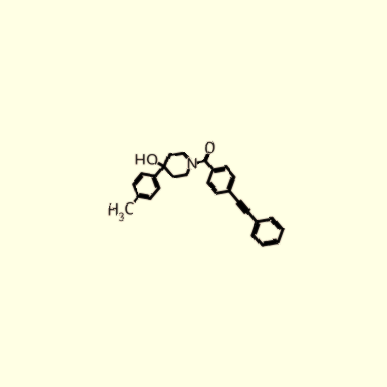 Cc1ccc(C2(O)CCN(C(=O)c3ccc(C#Cc4ccccc4)cc3)CC2)cc1